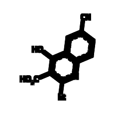 CCc1nc2ccc(C#N)cc2c(O)c1C(=O)O